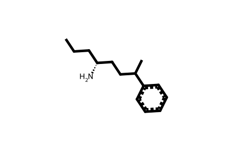 CCC[C@@H](N)CCC(C)c1ccccc1